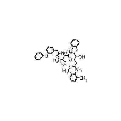 Cc1cccc(C)c1NC(=O)CC[C@H](O)[C@H](Cc1ccccc1)NC(=O)C(NC(=O)Cc1cccc(Oc2ccccc2)c1)C(C)C